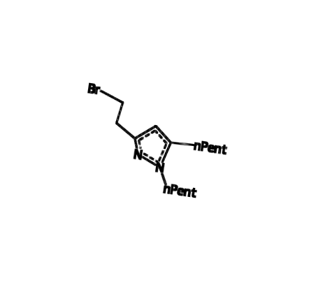 CCCCCc1cc(CCBr)nn1CCCCC